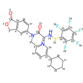 O=C1OCc2cc(N(Cc3ccc(C4CCCCC4)cn3)C(=O)CNSc3c(F)c(F)c(F)c(F)c3F)ccc21